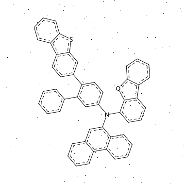 c1ccc(-c2cc(N(c3cc4ccccc4c4ccccc34)c3cccc4c3oc3ccccc34)ccc2-c2ccc3c(c2)sc2ccccc23)cc1